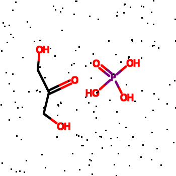 O=C(CO)CO.O=P(O)(O)O